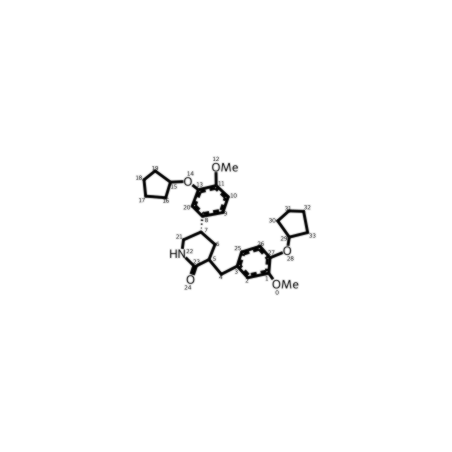 COc1cc(CC2C[C@@H](c3ccc(OC)c(OC4CCCC4)c3)CNC2=O)ccc1OC1CCCC1